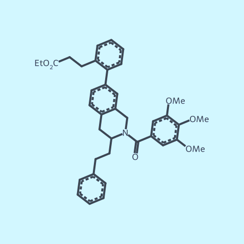 CCOC(=O)CCc1ccccc1-c1ccc2c(c1)CN(C(=O)c1cc(OC)c(OC)c(OC)c1)C(CCc1ccccc1)C2